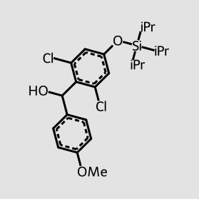 COc1ccc(C(O)c2c(Cl)cc(O[Si](C(C)C)(C(C)C)C(C)C)cc2Cl)cc1